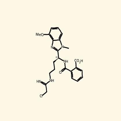 COc1cccc2c1nc([C@H](CCCNC(=N)CCl)NC(=O)c1ccccc1C(=O)O)n2C